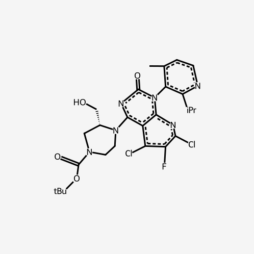 Cc1ccnc(C(C)C)c1-n1c(=O)nc(N2CCN(C(=O)OC(C)(C)C)C[C@@H]2CO)c2c(Cl)c(F)c(Cl)nc21